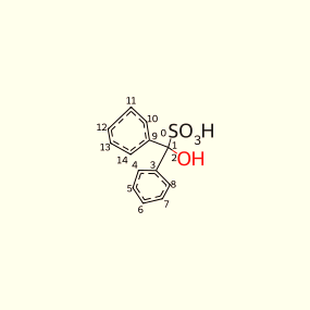 O=S(=O)(O)C(O)(c1ccccc1)c1ccccc1